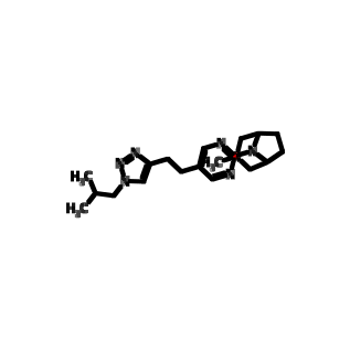 CC(C)Cn1cc(CCc2cnc(N3C4CCC3CN(C)C4)nc2)nn1